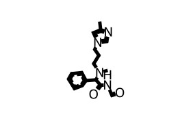 Cc1cn(CCCN(C)C(C(=O)NC=O)c2ccccc2)cn1